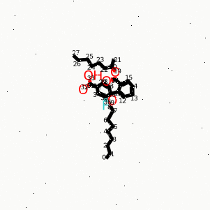 CCCCCCCCCOC1(c2ccccc2C(=O)OC(C)CCCCCC)C=CC(C(=O)O)C=C1F